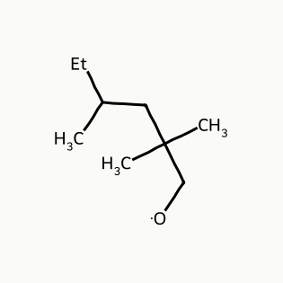 CCC(C)CC(C)(C)C[O]